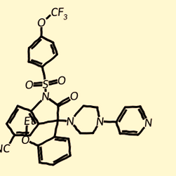 CCOc1ccccc1C1(N2CCN(c3ccncc3)CC2)C(=O)N(S(=O)(=O)c2ccc(OC(F)(F)F)cc2)c2ccc(C#N)cc21